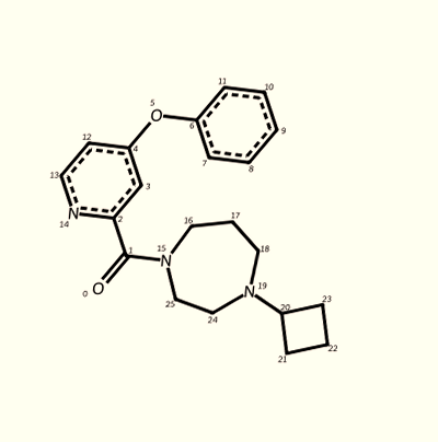 O=C(c1cc(Oc2ccccc2)ccn1)N1CCCN(C2CCC2)CC1